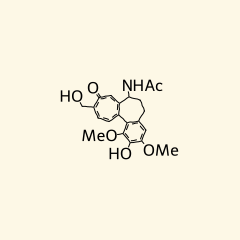 COc1cc2c(c(OC)c1O)-c1ccc(CO)c(=O)cc1C(NC(C)=O)CC2